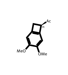 COc1cc2c(cc1OC)[C@H](C(C)=O)C2